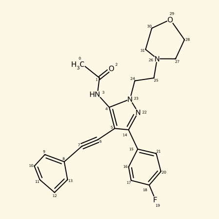 CC(=O)Nc1c(C#Cc2ccccc2)c(-c2ccc(F)cc2)nn1CCN1CCOCC1